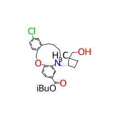 CC(C)COC(=O)c1ccc2c(c1)N(C[C@H]1CC[C@]1(C)CO)CCCCc1cc(Cl)ccc1CO2